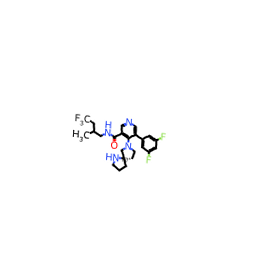 CC(CNC(=O)c1cncc(-c2cc(F)cc(F)c2)c1N1CC[C@@]2(CCCN2)C1)CC(F)(F)F